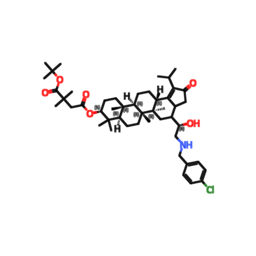 CC(C)C1=C2C(CC1=O)C([C@@H](O)CNCc1ccc(Cl)cc1)C[C@]1(C)[C@@H]2CC[C@@H]2[C@@]3(C)CC[C@H](OC(=O)CC(C)(C)C(=O)OC(C)(C)C)C(C)(C)[C@@H]3CC[C@]21C